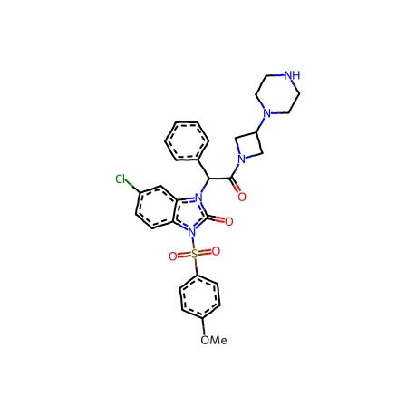 COc1ccc(S(=O)(=O)n2c(=O)n(C(C(=O)N3CC(N4CCNCC4)C3)c3ccccc3)c3cc(Cl)ccc32)cc1